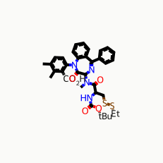 CCSSCC(NC(=O)OC(C)(C)C)C(=O)N(C)C1N=C(c2ccccc2)c2ccccc2N(c2ccc(C)c(C)c2C(=O)O)C1=O